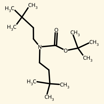 CC(C)(C)CCN(CCC(C)(C)C)C(=O)OC(C)(C)C